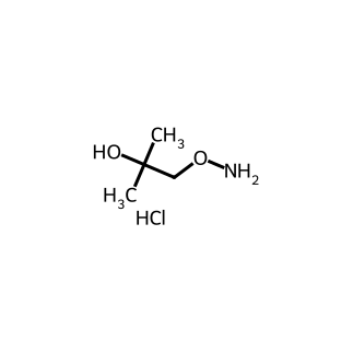 CC(C)(O)CON.Cl